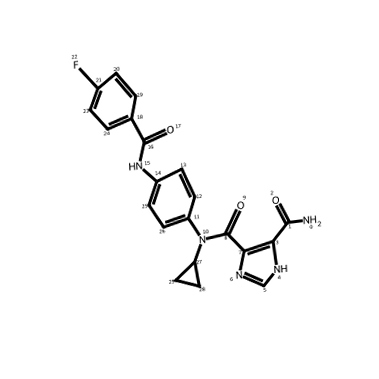 NC(=O)c1[nH]cnc1C(=O)N(c1ccc(NC(=O)c2ccc(F)cc2)cc1)C1CC1